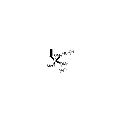 C=C[Si](OC)(OC)OC.[Mg+2].[OH-].[OH-]